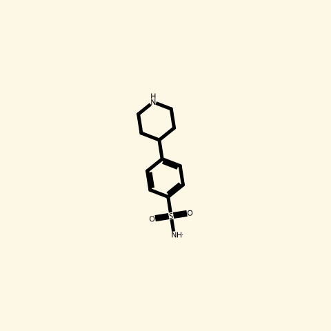 [NH]S(=O)(=O)c1ccc(C2CCNCC2)cc1